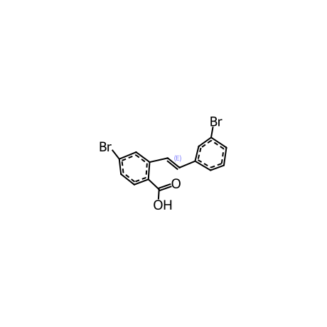 O=C(O)c1ccc(Br)cc1/C=C/c1cccc(Br)c1